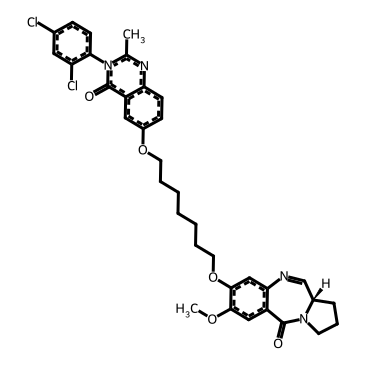 COc1cc2c(cc1OCCCCCCCOc1ccc3nc(C)n(-c4ccc(Cl)cc4Cl)c(=O)c3c1)N=C[C@@H]1CCCN1C2=O